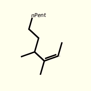 C/[C]=C(/C)C(C)CCCCCCC